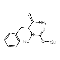 CC(C)(C)OC(=O)N(O)[C@@H](Cc1ccccc1)C(N)=O